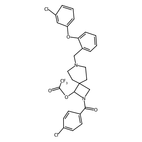 O=C(c1ccc(Cl)cc1)N1CC2(CCN(Cc3ccccc3Oc3cccc(Cl)c3)CC2)C1OC(=O)C(F)(F)F